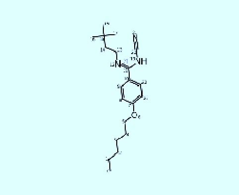 CCCCCCOc1ccc(/C(=N/CCC(C)(C)C)NC#N)cc1